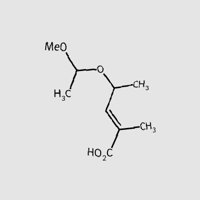 COC(C)OC(C)C=C(C)C(=O)O